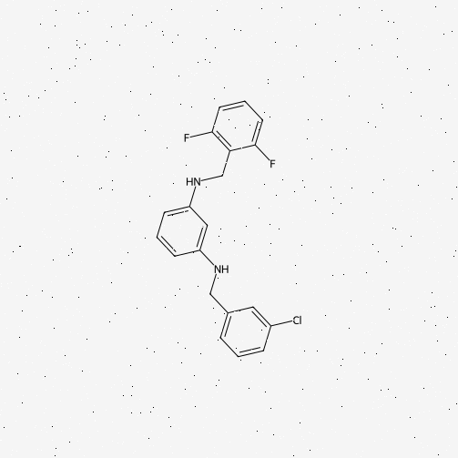 Fc1cccc(F)c1CNc1cccc(NCc2cccc(Cl)c2)c1